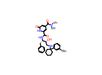 CCCN(CCC)C(=O)c1cc(C(=O)N[C@@H](Cc2ccccc2)[C@H](O)CNC2(c3cccc(C(C)(C)C)c3)CCCCC2)[nH]c(=O)c1